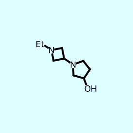 CCN1CC(N2CCC(O)C2)C1